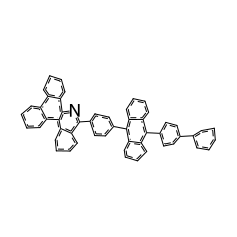 c1ccc(-c2ccc(-c3c4ccccc4c(-c4ccc(-c5nc6c7ccccc7c7ccccc7c6c6ccccc56)cc4)c4ccccc34)cc2)cc1